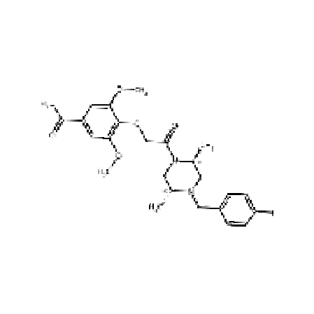 COc1cc(C(C)=O)cc(OC)c1OCC(=O)N1C[C@@H](C)N(Cc2ccc(F)cc2)C[C@@H]1C